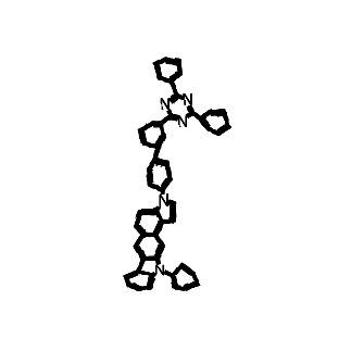 c1ccc(-c2nc(-c3ccccc3)nc(-c3cccc(-c4ccc(-n5ccc6c7cc8c(cc7ccc65)c5ccccc5n8-c5ccccc5)cc4)c3)n2)cc1